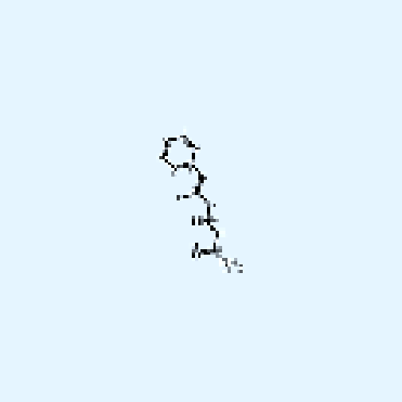 C/C(=C\c1ccccc1)CNCC(N)=O